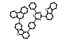 c1ccc(-c2nc(-c3ccc(-c4cccc5oc6ccc(-c7cc8ccccc8c8ccccc78)cc6c45)cc3)nc(-c3cccc4c3oc3ccccc34)n2)cc1